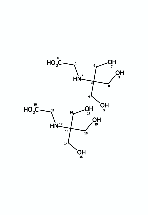 O=C(O)CNC(CO)(CO)CO.O=C(O)CNC(CO)(CO)CO